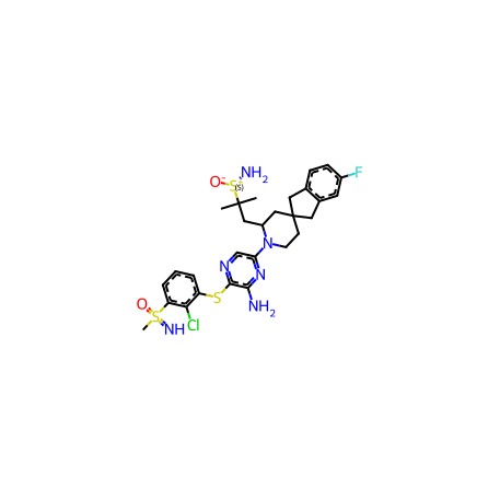 CC(C)(CC1CC2(CCN1c1cnc(Sc3cccc(S(C)(=N)=O)c3Cl)c(N)n1)Cc1ccc(F)cc1C2)[S@+](N)[O-]